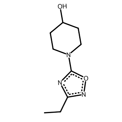 CCc1noc(N2CCC(O)CC2)n1